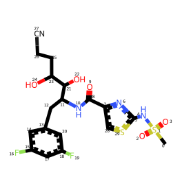 CS(=O)(=O)Nc1nc(C(=O)NC(Cc2cc(F)cc(F)c2)C(O)C(O)CCC#N)cs1